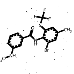 CNc1cccc(C(=O)Nc2c(Br)cc(C)cc2SC(F)(F)F)c1